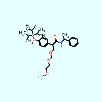 COCCOCOCC(C(=O)NC(C)c1ccccc1)c1ccc(O[Si](C(C)C)(C(C)C)C(C)C)cc1